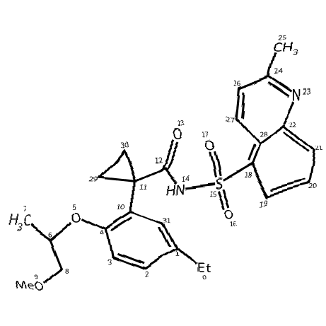 CCc1ccc(OC(C)COC)c(C2(C(=O)NS(=O)(=O)c3cccc4nc(C)ccc34)CC2)c1